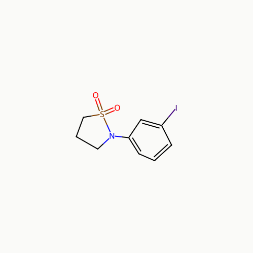 O=S1(=O)CCCN1c1cccc(I)c1